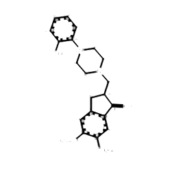 COc1cc2c(cc1OC)C(=O)C(CN1CCN(c3ccccc3OC)CC1)C2